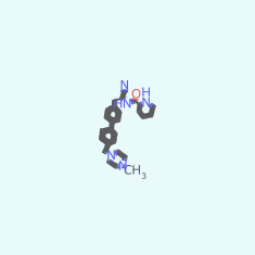 CN1CCN(Cc2ccc(-c3ccc(C[C@@H](C#N)NC(=O)[C@@H]4CCCCN4)cc3)cc2)CC1